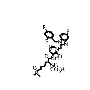 CN(C)C(=O)C=CCCC(NC(=O)O)C(=O)Nc1cncn(Cc2nc3cc(F)ccc3n2Cc2ccc(F)cc2F)c1=O